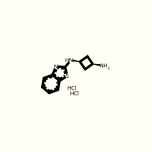 Cl.Cl.N[C@H]1C[C@@H](Nc2nc3ccccc3s2)C1